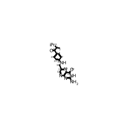 CC(C)C(C)C(=O)c1ccc(NCc2cnc3nc(N)[nH]c(=O)c3n2)cc1